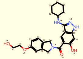 O=C(c1cc2c(NC3CCCCC3)n[nH]c2cc1O)N1Cc2ccc(OCCO)cc2C1